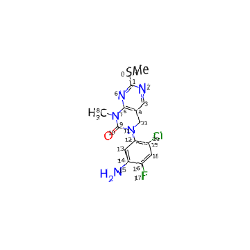 CSc1ncc2c(n1)N(C)C(=O)N(c1cc(N)c(F)cc1Cl)C2